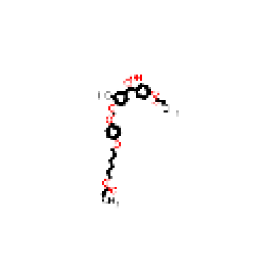 C=CC(=O)OCCCCCCOc1ccc(OCOc2ccc(C(OO)c3ccc(OC(=O)C=C)cc3)cc2C)cc1